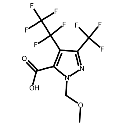 COCn1nc(C(F)(F)F)c(C(F)(F)C(F)(F)F)c1C(=O)O